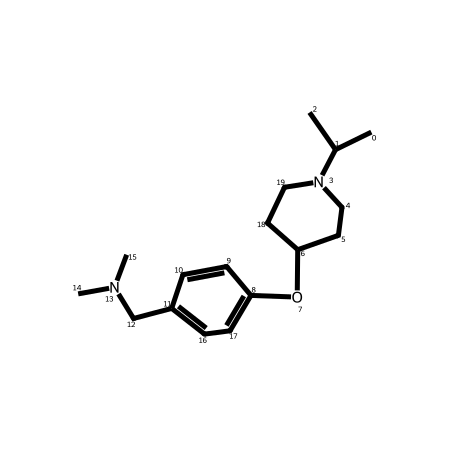 CC(C)N1CCC(Oc2ccc(CN(C)C)cc2)CC1